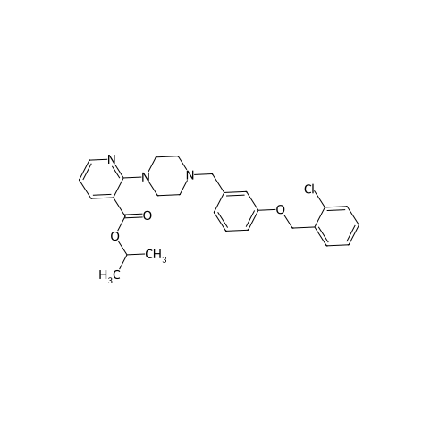 CC(C)OC(=O)c1cccnc1N1CCN(Cc2cccc(OCc3ccccc3Cl)c2)CC1